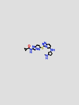 CNC1CCC(Nc2ccc3nnc(Sc4ccc5nc(NC(=O)C6CC6)cn5n4)n3c2)C1